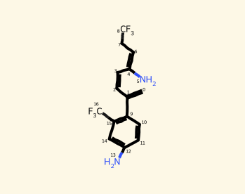 C=C(/C=C\C(N)=C/CC(F)(F)F)c1ccc(N)cc1C(F)(F)F